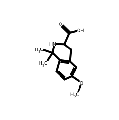 COc1ccc2c(c1)CC(C(=O)O)NC2(C)C